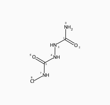 NC(=O)NNC(=O)NCl